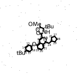 COC(=O)[C@@H](NC(=O)c1cc2c(Oc3ccc(C(C)(C)C)cc3)cccc2c(CC2CCCC2)n1)C(C)(C)C